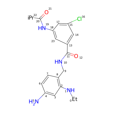 CCNc1cc(N)ccc1CNC(=O)c1cc(Cl)cc(NC(=O)C(C)C)c1